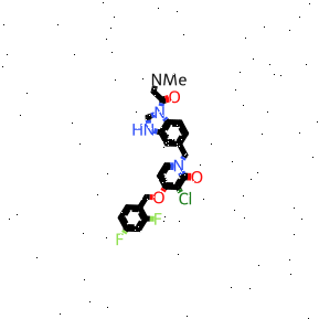 CNCC(=O)N1CNc2cc(Cn3ccc(OCc4ccc(F)cc4F)c(Cl)c3=O)ccc21